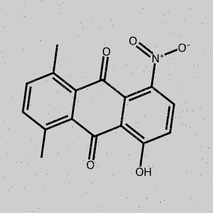 Cc1ccc(C)c2c1C(=O)c1c(O)ccc([N+](=O)[O-])c1C2=O